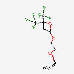 C=COCCOC1CC(C(F)(F)F)(C(F)(F)F)O1